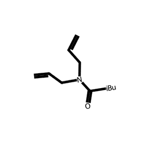 C=CCN(CC=C)C(=O)C(C)CC